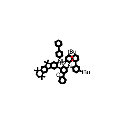 CC(C)(C)c1ccc2c(c1)Bc1c(cc3c(oc4ccccc43)c1-c1cc3c(cc1Nc1ccc(-c4ccccc4)cc1)C(C)(C)c1cc4c(cc1-3)C(C)(C)CCC4(C)C)N2c1ccc(C(C)(C)C)cc1-c1ccccc1